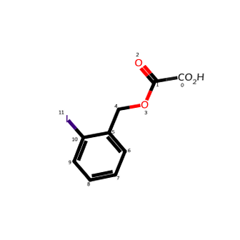 O=C(O)C(=O)OCc1ccccc1I